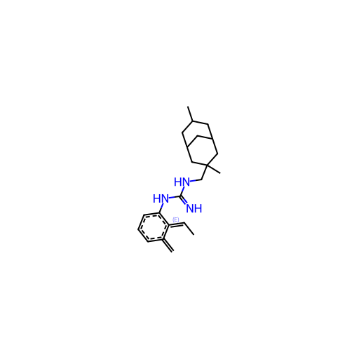 C=c1cccc(NC(=N)NCC2(C)CC3CC(C)CC(C3)C2)/c1=C/C